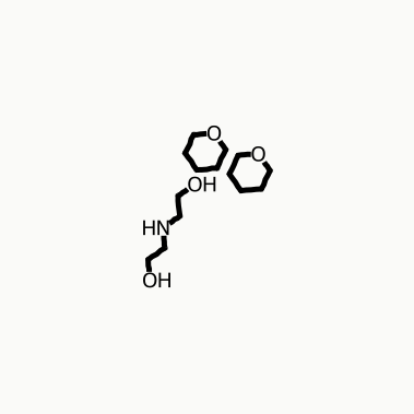 C1CCOCC1.C1CCOCC1.OCCNCCO